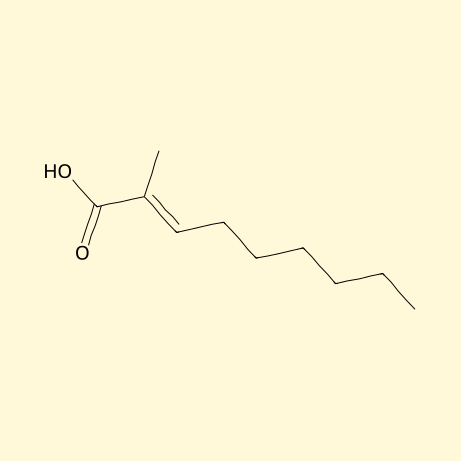 CCCCCC/C=C(\C)C(=O)O